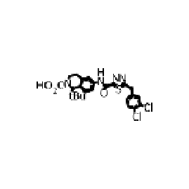 CC(C)(C)C1c2ccc(NC(=O)c3nnc(Cc4ccc(Cl)c(Cl)c4)s3)cc2CCN1C(=O)O